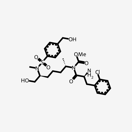 COC(=O)N(C(=O)[C@@H](N)Cc1ccccc1Cl)[C@@H](C)CCC[C@@H](CO)N(C)S(=O)(=O)c1ccc(CO)cc1